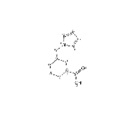 O=C(O)N1CCCC(Cn2cccn2)C1